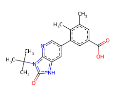 Cc1cc(C(=O)O)cc(-c2cnc3c(c2)[nH]c(=O)n3C(C)(C)C)c1C